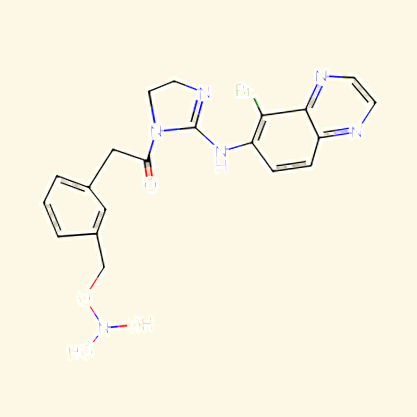 O=C(Cc1cccc(CON(O)O)c1)N1CCN=C1Nc1ccc2nccnc2c1Br